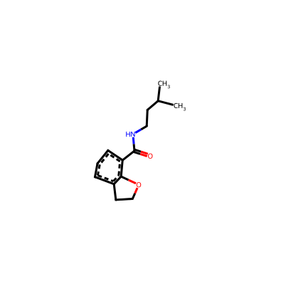 CC(C)CCNC(=O)c1cccc2c1OCC2